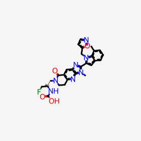 Cc1cccc2cc(-c3nc4cc5c(nc4n3C)CCN(C[C@@H](CF)NC(=O)O)C5=O)n(Cc3ccno3)c12